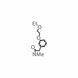 CCOCCOc1cccc(CC(=O)NC)c1